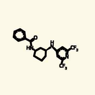 O=C(N[C@@H]1CCC[C@H](Nc2cc(C(F)(F)F)nc(C(F)(F)F)c2)C1)c1ccccc1